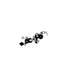 COc1cccc(-c2c(C)nc(N3CCC4(CC3)C[C@@H](OC3CCC3)C[C@H]4N)n3ccnc23)c1Cl